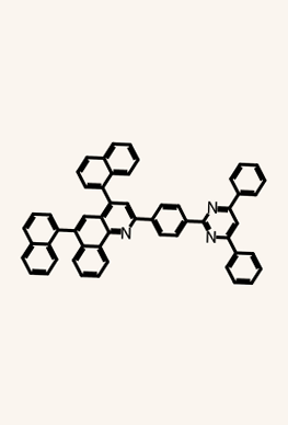 c1ccc(-c2cc(-c3ccccc3)nc(-c3ccc(-c4cc(-c5cccc6ccccc56)c5cc(-c6cccc7ccccc67)c6ccccc6c5n4)cc3)n2)cc1